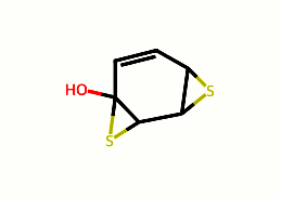 OC12C=CC3SC3C1S2